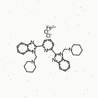 [Cl-].[Cl-].[Fe+2].c1cc(-c2nc3ccccc3n2CN2CCCCC2)nc(-c2nc3ccccc3n2CN2CCCCC2)c1